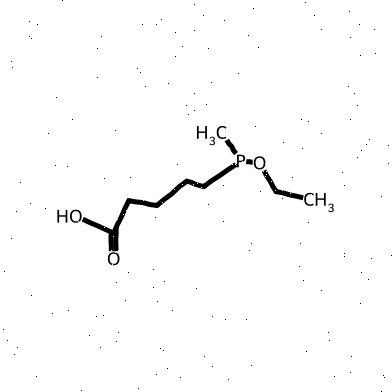 CCOP(C)CCCCC(=O)O